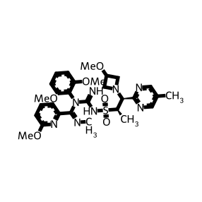 C/N=C(/c1cccc(OC)n1)N(C(=N)NS(=O)(=O)[C@H](C)[C@H](c1ncc(C)cn1)N1CC(OC)C1)c1c(OC)cccc1OC